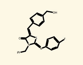 CC(C)CN1C(=O)/C(=C/c2ccc(CO)cc2)S/C1=N\c1ccc(F)cc1